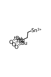 CC(C)(C)[O-].CC(C)(C)[O-].CC(C)(C)[O-].[Sn+3][CH2]CI